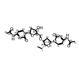 CC[C@H]1O[C@@H](n2ccc(NC(C)=O)nc2=O)C[C@H]1OC[C@H]1O[C@@H](n2ccc(NC(C)=O)nc2=O)C[C@H]1O